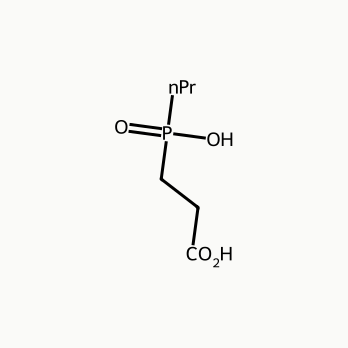 CCCP(=O)(O)CCC(=O)O